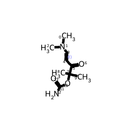 CN(C)/C=C/C(=O)C(C)(C)OC(N)=O